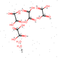 O.O.O=C(O)C(=O)O.O=C(O)C(=O)O.O=C(O)C(=O)O.O=C(O)C(=O)O.[K]